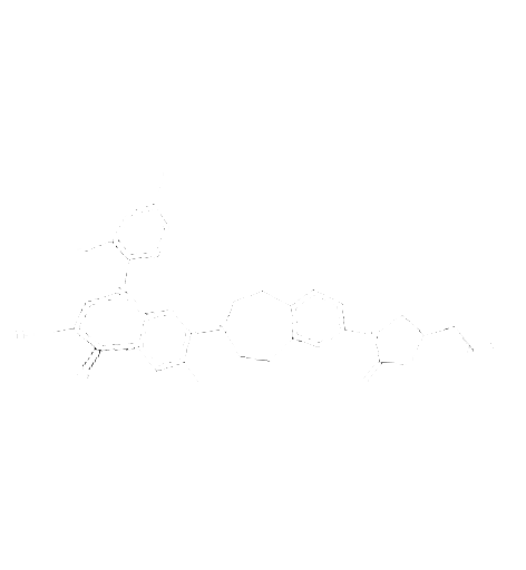 CC(=O)NCC1CN(c2ccc3c(c2)CCN(c2nc4c(cc2F)c(=O)c(C(=O)O)cn4-c2ccc(F)cc2F)CC3)C(=O)O1